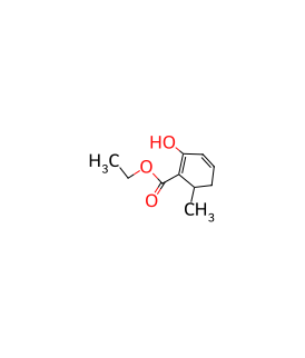 CCOC(=O)C1=C(O)C=CCC1C